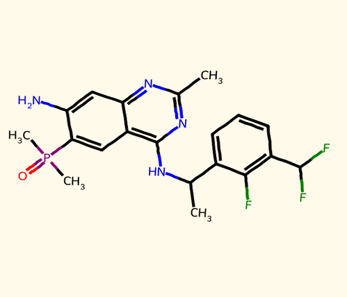 Cc1nc(NC(C)c2cccc(C(F)F)c2F)c2cc(P(C)(C)=O)c(N)cc2n1